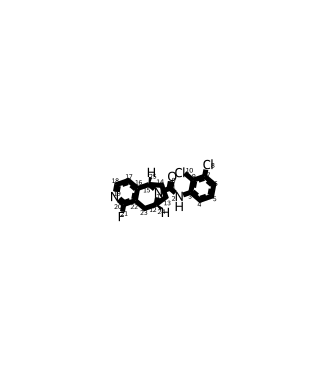 O=C(Nc1cccc(Cl)c1Cl)N1[C@@H]2CC[C@H]1c1ccnc(F)c1C2